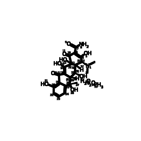 CN(C)[C@@H]1C(O)=C(C(N)=O)C(=O)[C@@]2(O)C(O)=C3C(=O)c4c(O)cccc4[C@@](C)(O)[C@H]3[C@H](O)[C@@H]12.O.O.P